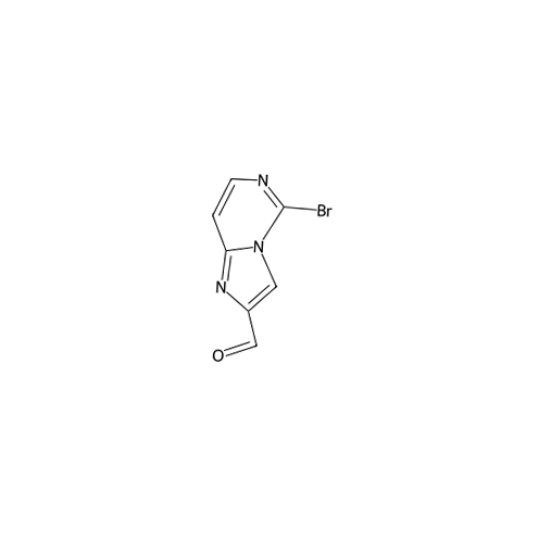 O=Cc1cn2c(Br)nccc2n1